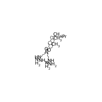 CC(C)CCCC(C)C1CCC2C3CC=C4CC(OC(=O)N(CCCCNC(N)N)CCCCNC(N)N)CCC4(C)C3CCC12C